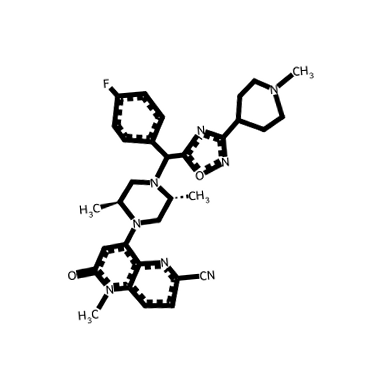 C[C@@H]1CN(c2cc(=O)n(C)c3ccc(C#N)nc23)[C@@H](C)CN1C(c1ccc(F)cc1)c1nc(C2CCN(C)CC2)no1